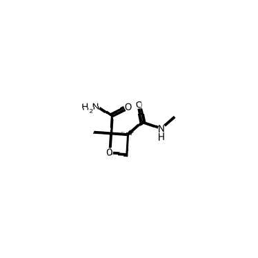 CNC(=O)[C]1COC1(C)C(N)=O